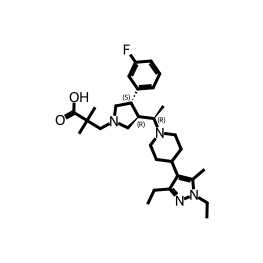 CCc1nn(CC)c(C)c1C1CCN([C@H](C)[C@H]2CN(CC(C)(C)C(=O)O)C[C@@H]2c2cccc(F)c2)CC1